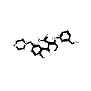 CCC(Nc1cccc(CO)c1)=C(C(=O)O)C(=O)c1cc(CN2CCOCC2)ccc1F